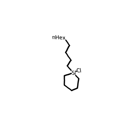 CCCCCCCCCC[Si]1(Cl)CCCCC1